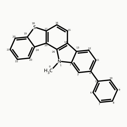 Cn1c2cc(-c3ccccc3)ccc2c2ccc3sc4ccccc4c3c21